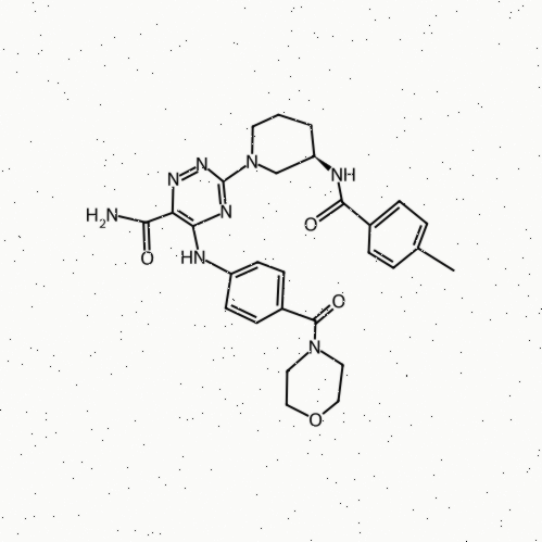 Cc1ccc(C(=O)N[C@@H]2CCCN(c3nnc(C(N)=O)c(Nc4ccc(C(=O)N5CCOCC5)cc4)n3)C2)cc1